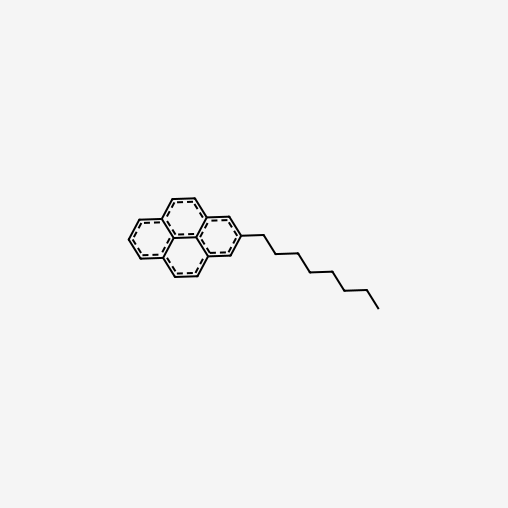 CCCCCCCCc1cc2ccc3cccc4ccc(c1)c2c34